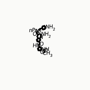 CCCN(OCc1ccc(N)cc1)C(=O)C1=Cc2ccc(C(=O)Nc3cccc(NS(C)(=O)=O)c3)cc2N=C(N)C1